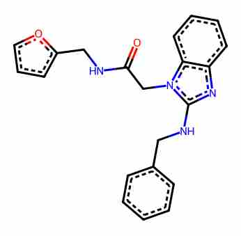 O=C(Cn1c(NCc2ccccc2)nc2ccccc21)NCc1ccco1